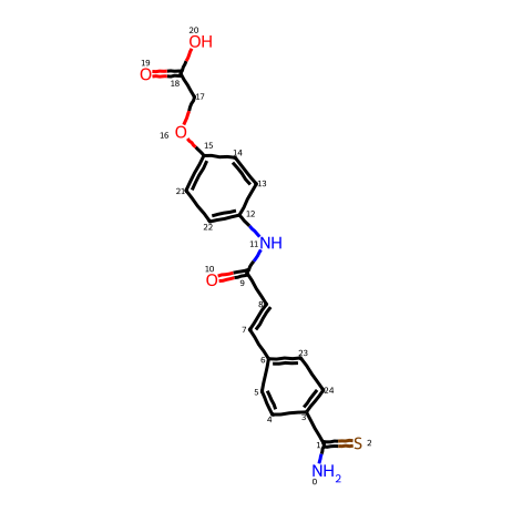 NC(=S)c1ccc(C=CC(=O)Nc2ccc(OCC(=O)O)cc2)cc1